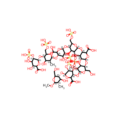 CO[C@H]1OC(CO)[C@H](O[C@@H]2OC(C(=O)O)[C@H](O[C@@H]3OC(CO)[C@H](O[C@@H]4OC(C(=O)O)[C@H](O[C@@H]5OC(COS(=O)(=O)O)[C@H](O[C@@H]6OC(C(=O)O)[C@H](O[C@@H]7OC(COS(=O)(=O)O)[C@H](O[C@@H]8OC(C(=O)O)[C@@H](O)C(O)[C@@H]8OS(=O)(=O)O)C(O)[C@@H]7C)C(O)[C@@H]6OS(=O)(=O)O)C(O)[C@@H]5C)C(O)[C@@H]4OS(=O)(=O)O)C(O)[C@@H]3C)C(O)[C@@H]2OS(=O)(=O)O)C(O)[C@@H]1C